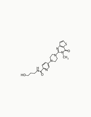 Cn1c(N2CCN(c3ccc(C(=O)NCCCO)nc3)CC2)nc2ccsc2c1=O